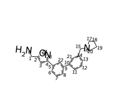 NCc1cc(-c2cccc(-c3cccc(CN4CCCC4)c3)c2)no1